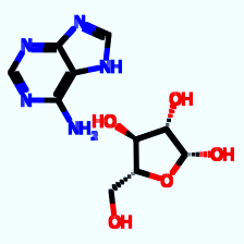 Nc1ncnc2nc[nH]c12.OC[C@H]1O[C@@H](O)[C@@H](O)[C@@H]1O